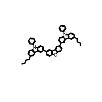 CCCCc1ccc2c(c1)c1cc(-c3ccc4oc5ccc(-c6ccc7c(c6)c6cc(CCCC)ccc6n7-c6ccccc6)cc5c4c3)ccc1n2-c1ccccc1